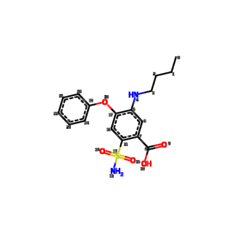 CCCCNc1cc(C(=O)O)c(S(N)(=O)=O)cc1Oc1ccccc1